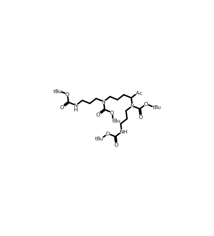 CC(=O)C(CCCN(CCCNC(=O)OC(C)(C)C)C(=O)OC(C)(C)C)N(CCCNC(=O)OC(C)(C)C)C(=O)OC(C)(C)C